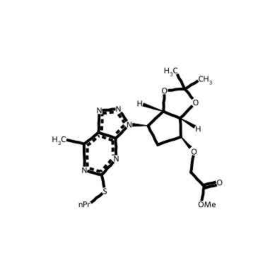 CCCSc1nc(C)c2nnn([C@@H]3C[C@H](OCC(=O)OC)[C@H]4OC(C)(C)O[C@H]43)c2n1